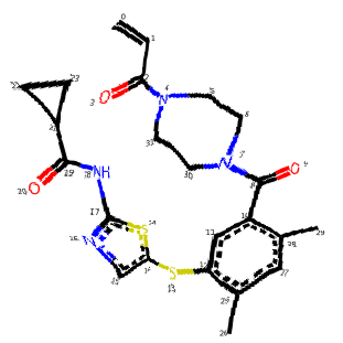 C=CC(=O)N1CCN(C(=O)c2cc(Sc3cnc(NC(=O)C4CC4)s3)c(C)cc2C)CC1